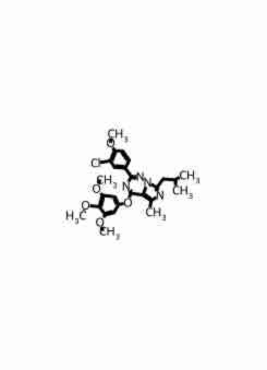 COc1ccc(-c2nc(Oc3cc(OC)c(OC)c(OC)c3)c3c(C)nc(CC(C)C)n3n2)cc1Cl